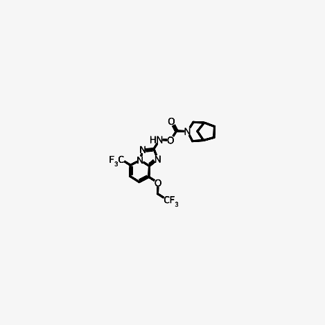 O=C(ONc1nc2c(OCC(F)(F)F)ccc(C(F)(F)F)n2n1)N1CC2CCC(C2)C1